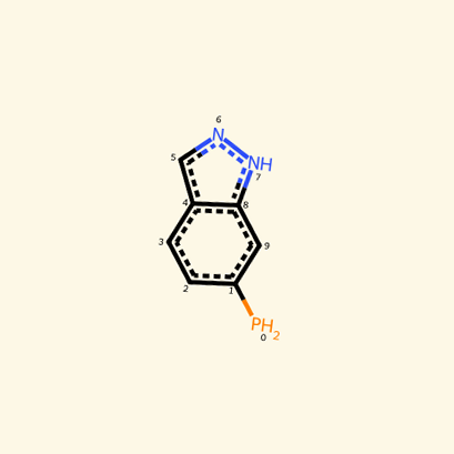 Pc1ccc2cn[nH]c2c1